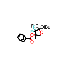 CC(C)COC1(C(F)(F)F)OCC(C)(OC(=O)C2CC3C=CC2C3)C1(F)F